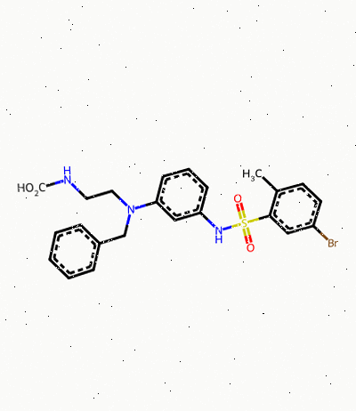 Cc1ccc(Br)cc1S(=O)(=O)Nc1cccc(N(CCNC(=O)O)Cc2ccccc2)c1